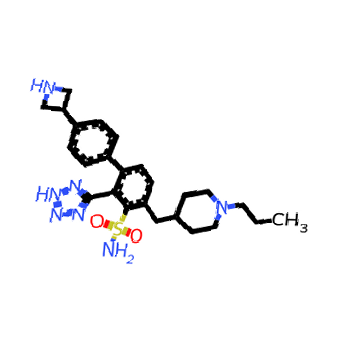 CCCN1CCC(Cc2ccc(-c3ccc(C4CNC4)cc3)c(-c3nn[nH]n3)c2S(N)(=O)=O)CC1